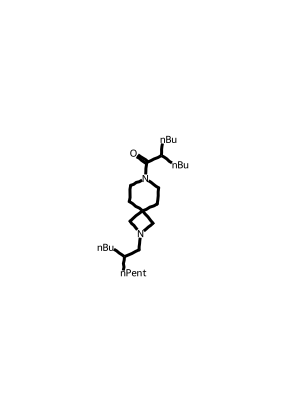 CCCCCC(CCCC)CN1CC2(CCN(C(=O)C(CCCC)CCCC)CC2)C1